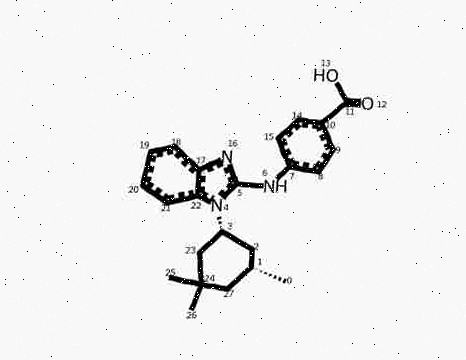 C[C@H]1C[C@@H](n2c(Nc3ccc(C(=O)O)cc3)nc3ccccc32)CC(C)(C)C1